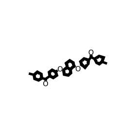 Cc1ccc(C(=O)c2ccc(Oc3cccc4c(Oc5ccc(C(=O)c6ccc(C)cc6)cc5)cccc34)cc2)cc1